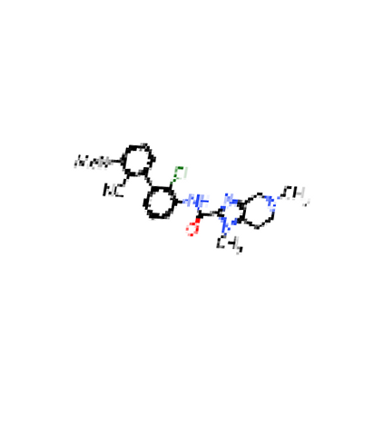 CNc1cccc(-c2cccc(NC(=O)c3nc4c(n3C)CCN(C)C4)c2Cl)c1C#N